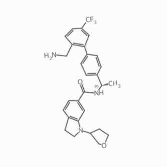 C[C@@H](NC(=O)c1ccc2c(c1)N(C1CCOC1)CC2)c1ccc(-c2cc(C(F)(F)F)ccc2CN)cc1